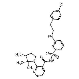 CC1CCN(c2ncccc2C(=O)NS(=O)(=O)c2cccc(NCCc3ccc(Cl)cc3)n2)C1(C)C